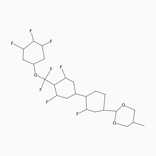 CC1COC(C2CCC(C3CC(F)C(C(F)(F)OC4CC(F)C(F)C(F)C4)C(F)C3)C(F)C2)OC1